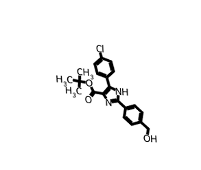 CC(C)(C)OC(=O)c1nc(-c2ccc(CO)cc2)[nH]c1-c1ccc(Cl)cc1